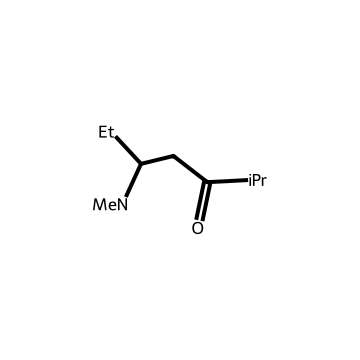 CCC(CC(=O)C(C)C)NC